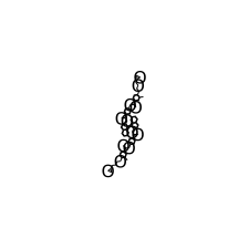 Cc1cc(C(=O)Oc2ccc(C(=O)Oc3ccc4ccccc4c3-c3c(OC(=O)c4ccc(OC(=O)c5ccc(OCCCC6CO6)c(C)c5)cc4)ccc4ccccc34)cc2)ccc1CCOCC1CO1